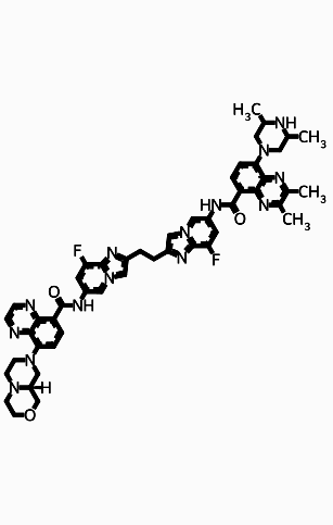 Cc1nc2c(C(=O)Nc3cc(F)c4nc(CCc5cn6cc(NC(=O)c7ccc(N8CCN9CCOC[C@H]9C8)c8nccnc78)cc(F)c6n5)cn4c3)ccc(N3CC(C)NC(C)C3)c2nc1C